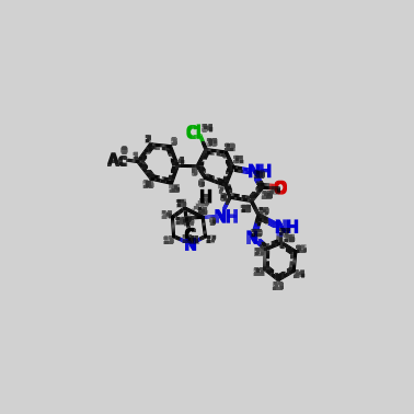 CC(=O)c1ccc(-c2cc3c(N[C@H]4CN5CCC4CC5)c(-c4nc5ccccc5[nH]4)c(=O)[nH]c3cc2Cl)cc1